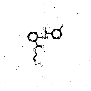 C=CCOC(=O)c1ccccc1NC(=O)c1cccc(I)c1